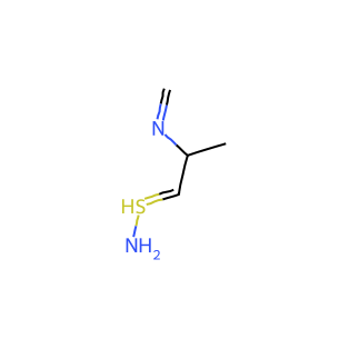 C=NC(C)/C=[SH]/N